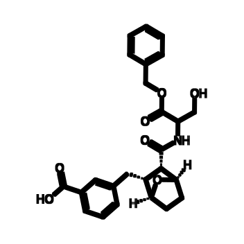 O=C(O)c1cccc(C[C@@H]2[C@H](C(=O)NC(CO)C(=O)OCc3ccccc3)[C@H]3CC[C@@H]2O3)c1